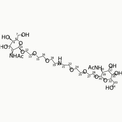 CC(=O)N[C@H]1C(O)[C@@H](O)C(CO)O[C@H]1OCCOCCOCCNCCOCCOCCO[C@@H]1OC(CO)[C@H](O)C(O)[C@@H]1NC(C)=O